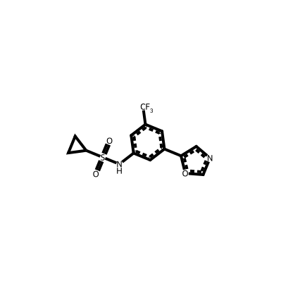 O=S(=O)(Nc1cc(-c2cnco2)cc(C(F)(F)F)c1)C1CC1